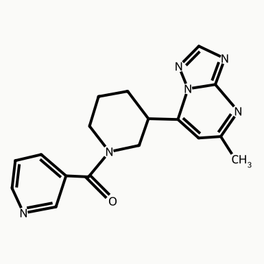 Cc1cc(C2CCCN(C(=O)c3cccnc3)C2)n2ncnc2n1